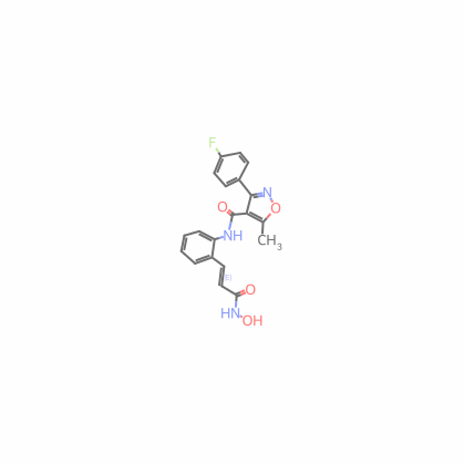 Cc1onc(-c2ccc(F)cc2)c1C(=O)Nc1ccccc1/C=C/C(=O)NO